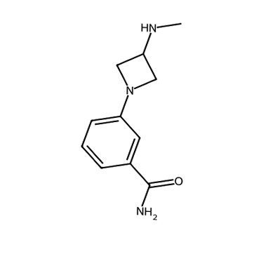 CNC1CN(c2cccc(C(N)=O)c2)C1